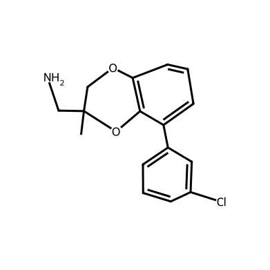 CC1(CN)COc2cccc(-c3cccc(Cl)c3)c2O1